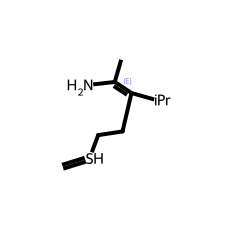 C=[SH]CC/C(=C(/C)N)C(C)C